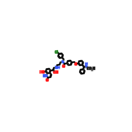 O=C(O)N[C@@H](c1ccccc1)c1cccc(OCc2ccc(C(=O)N(CCCNC[C@H](O)c3ccc(O)c4[nH]c(=O)ccc34)Cc3ccc(Cl)cc3)cc2)c1